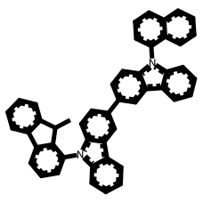 CC1c2ccccc2-c2cccc(-n3c4ccccc4c4cc(-c5ccc6c(c5)c5ccccc5n6-c5cccc6ccccc56)ccc43)c21